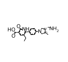 CCc1cc(C(=O)O)c(=O)[nH]c1-c1ccc(N2C[C@H](CN)[C@@H](C)C2)cc1